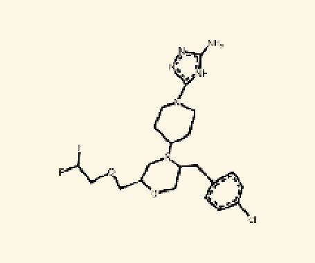 Nc1nnc(N2CCC(N3C[C@H](COCC(F)F)OC[C@@H]3Cc3ccc(Cl)cc3)CC2)[nH]1